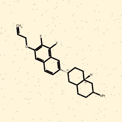 C=CCOc1cc2ccc([C@@H]3CC[C@@H]4CC(CCC)CCC4C3)cc2c(F)c1F